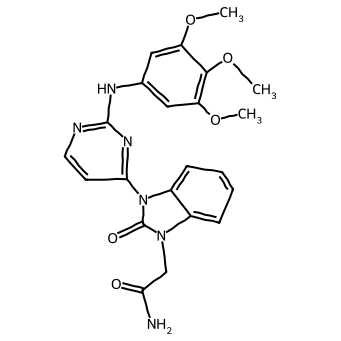 COc1cc(Nc2nccc(-n3c(=O)n(CC(N)=O)c4ccccc43)n2)cc(OC)c1OC